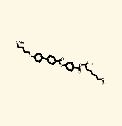 CCOCCCCCC(OC(=O)c1ccc(OC(=O)c2ccc(-c3ccc(OCCCCOC)cc3)cc2)cc1)C(F)(F)F